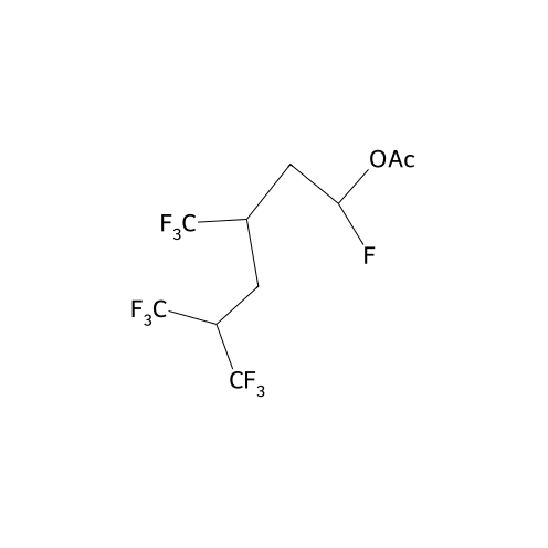 CC(=O)OC(F)CC(CC(C(F)(F)F)C(F)(F)F)C(F)(F)F